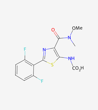 CON(C)C(=O)c1nc(-c2c(F)cccc2F)sc1NC(=O)O